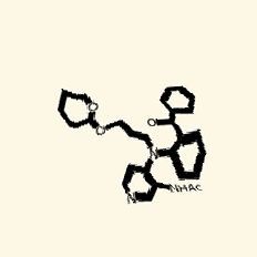 CC(=O)Nc1cnccc1N(CCCOC1CCCCO1)c1ccccc1C(=O)c1ccccc1